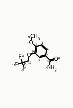 COc1ccc(C(N)=O)cc1OCC(F)(F)F